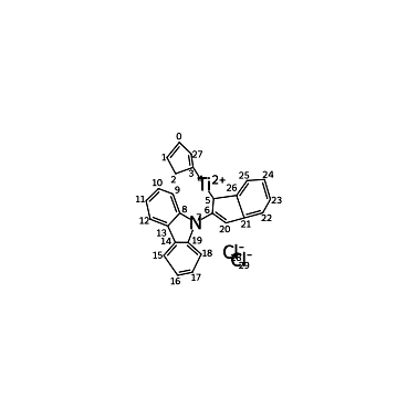 C1=CC[C]([Ti+2][CH]2C(n3c4ccccc4c4ccccc43)=Cc3ccccc32)=C1.[Cl-].[Cl-]